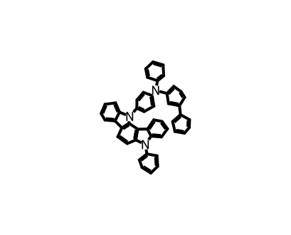 c1ccc(-c2cccc(N(c3ccccc3)c3ccc(-n4c5ccccc5c5ccc6c(c7ccccc7n6-c6ccccc6)c54)cc3)c2)cc1